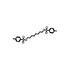 Cc1ccc(S(=O)(=O)OCCCCCCCCOS(=O)(=O)c2ccc(C)cc2)cc1